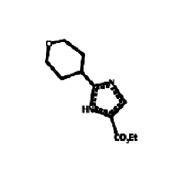 CCOC(=O)c1cnc(C2CCOCC2)[nH]1